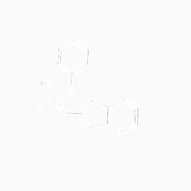 OP(=S)(Oc1ccccc1)OC1Cc2ccccc2C1